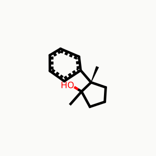 CC1(O)CCC[C@@]1(C)c1ccccc1